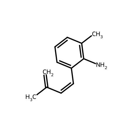 C=C(C)/C=C\c1cccc(C)c1N